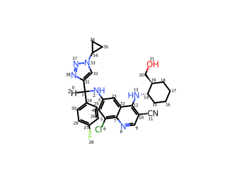 [2H]C(Nc1cc(Cl)c2ncc(C#N)c(N[C@H]3CCCC[C@@H]3CO)c2c1)(c1ccc(F)cc1)c1cn(C2CC2)nn1